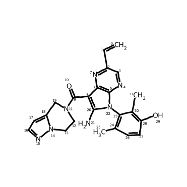 C=Cc1cnc2c(n1)c(C(=O)N1CCn3nccc3C1)c(N)n2-c1c(C)ccc(O)c1C